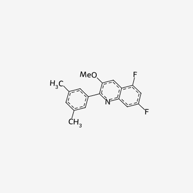 COc1cc2c(F)cc(F)cc2nc1-c1cc(C)cc(C)c1